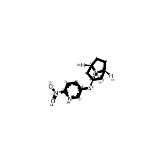 CN1[C@@H]2CC[C@H]1C[C@H](Sc1ccc([N+](=O)[O-])nc1)C2